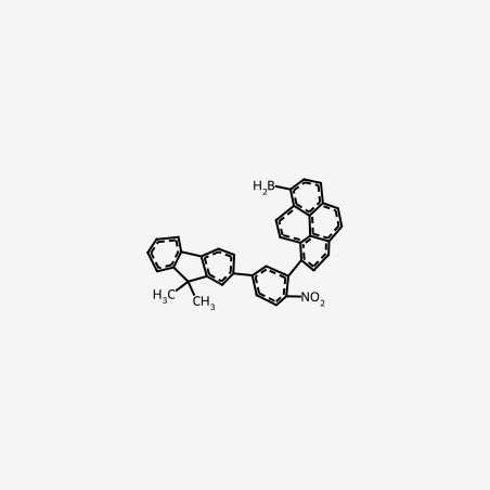 Bc1ccc2ccc3ccc(-c4cc(-c5ccc6c(c5)C(C)(C)c5ccccc5-6)ccc4[N+](=O)[O-])c4ccc1c2c34